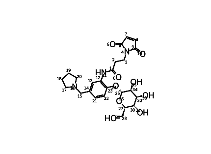 O=C(CCN1C(=O)C=CC1=O)Nc1cc(CN2CCCC2)ccc1O[C@H]1O[C@H](CO)[C@@H](O)[C@H](O)[C@@H]1O